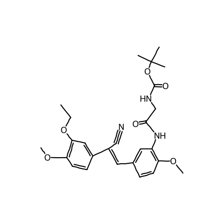 CCOc1cc(C(C#N)=Cc2ccc(OC)c(NC(=O)CNC(=O)OC(C)(C)C)c2)ccc1OC